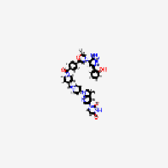 Cc1cn(C2CCN(CC3CCN(C(=O)c4ccc([C@@H]5CN(c6cc(-c7ccccc7O)nnc6N)C[C@H](C)O5)cc4)CC3)CC2)c2ncc(N3CCC(=O)NC3=O)cc12